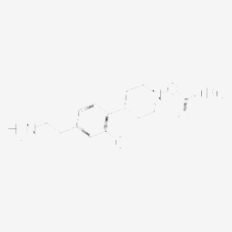 CC(C)(C)C(=O)ON1CCC(c2ccc(CCN)cc2Cl)CC1